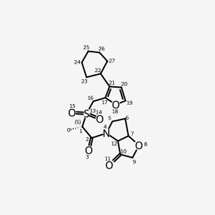 C[C@@H](C(=O)N1CCC2OCC(=O)C21)S(=O)(=O)Cc1occc1C1CCCCC1